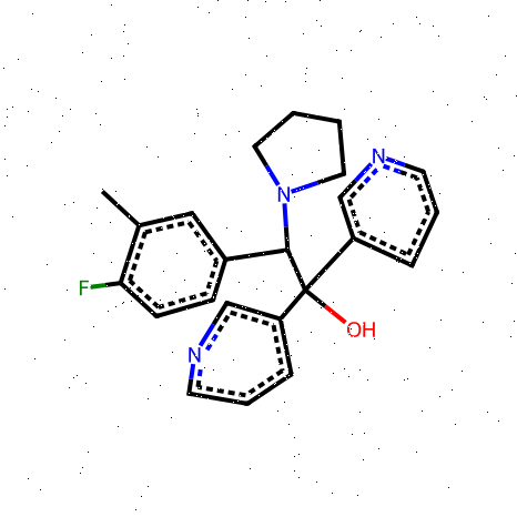 Cc1cc(C(N2CCCC2)C(O)(c2cccnc2)c2cccnc2)ccc1F